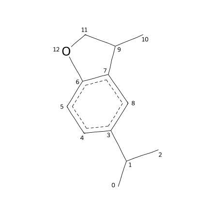 CC(C)c1ccc2c(c1)C(C)CO2